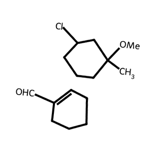 COC1(C)CCCC(Cl)C1.O=CC1=CCCCC1